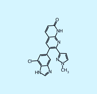 Cn1ccc(-c2nc3[nH]c(=O)ccc3cc2-c2cc(Cl)c3[nH]cnc3c2)n1